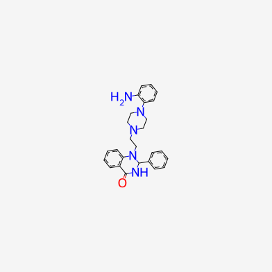 Nc1ccccc1N1CCN(CCN2c3ccccc3C(=O)NC2c2ccccc2)CC1